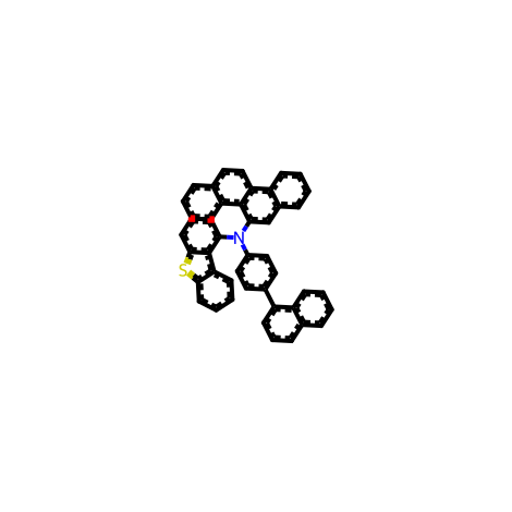 c1ccc2c(-c3ccc(N(c4cccc5sc6ccccc6c45)c4cc5ccccc5c5ccc6ccccc6c45)cc3)cccc2c1